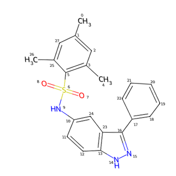 Cc1cc(C)c(S(=O)(=O)Nc2ccc3[nH]nc(-c4ccccc4)c3c2)c(C)c1